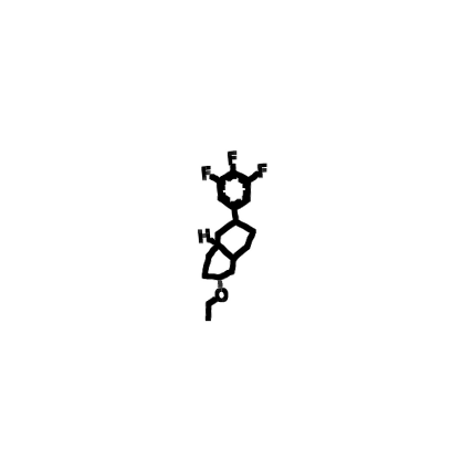 CCO[C@@H]1CC[C@@H]2CC(c3cc(F)c(F)c(F)c3)CCC2C1